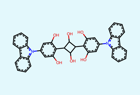 Oc1cc(-n2c3ccccc3c3ccccc32)cc(O)c1C1C(O)C(c2c(O)cc(-n3c4ccccc4c4ccccc43)cc2O)C1O